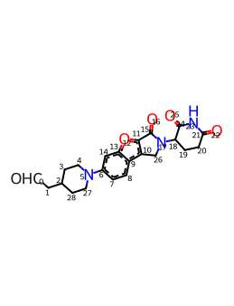 O=CCC1CCN(c2ccc3c4c(oc3c2)C(=O)N(C2CCC(=O)NC2=O)C4)CC1